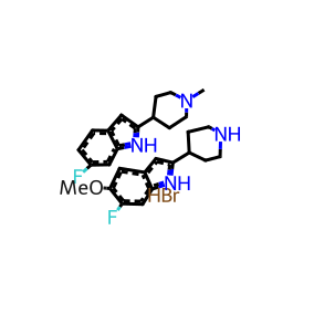 Br.CN1CCC(c2cc3ccc(F)cc3[nH]2)CC1.COc1cc2cc(C3CCNCC3)[nH]c2cc1F